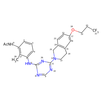 CC(=O)Nc1cccc(Nc2ncnc(N3CCc4cc(OCCC(F)(F)F)ccc4C3)n2)c1C